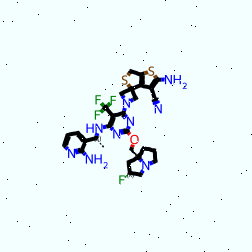 C[C@@H](Nc1nc(OC[C@@]23CCCN2C[C@H](F)C3)nc(N2CC3(C2)SCc2sc(N)c(C#N)c23)c1C(F)(F)F)c1cccnc1N